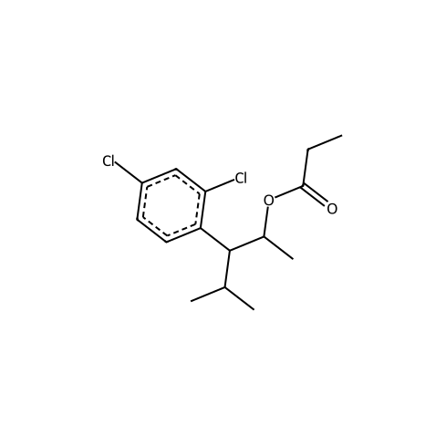 CCC(=O)OC(C)C(c1ccc(Cl)cc1Cl)C(C)C